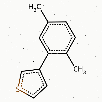 Cc1ccc(C)c(-c2ccsc2)c1